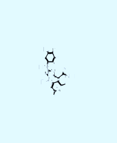 CC[N+]1(c2cc(C)nc(C)c2)N=C(Nc2ccc(F)c(F)c2)N=C1CC(N)=O